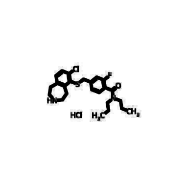 CCCN(CCC)C(=O)c1ccc(CSc2c(Cl)ccc3c2CCNCC3)cc1F.Cl